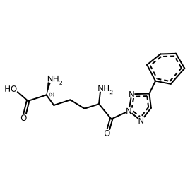 NC(CCC[C@H](N)C(=O)O)C(=O)n1ncc(-c2ccccc2)n1